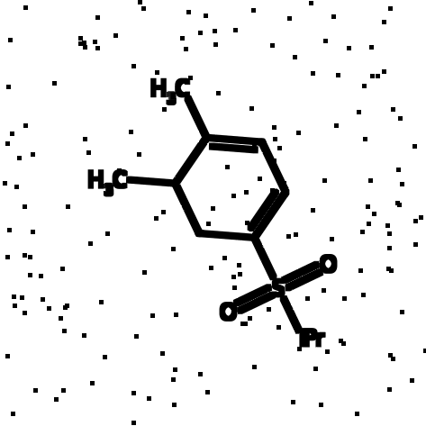 CC1=CC=C(S(=O)(=O)C(C)C)CC1C